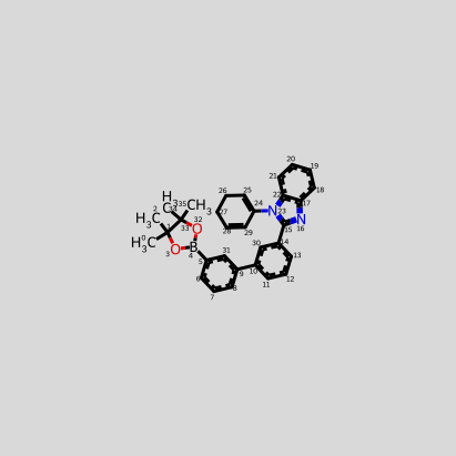 CC1(C)OB(c2cccc(-c3cccc(-c4nc5ccccc5n4C4=CCCC=C4)c3)c2)OC1(C)C